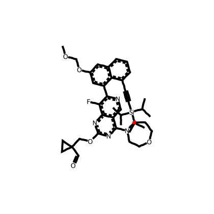 COCOc1cc(-c2ncc3c(N4CCCOCC4)nc(OCC4(C=O)CC4)nc3c2F)c2c(C#C[Si](C(C)C)(C(C)C)C(C)C)cccc2c1